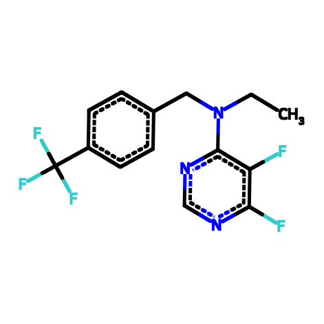 CCN(Cc1ccc(C(F)(F)F)cc1)c1ncnc(F)c1F